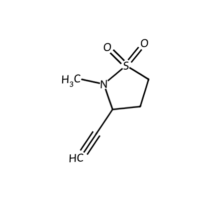 C#CC1CCS(=O)(=O)N1C